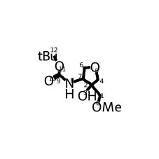 COCC1(O)COCC1NC(=O)OC(C)(C)C